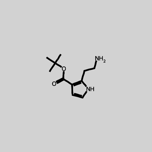 CC(C)(C)OC(=O)c1cc[nH]c1CCN